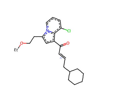 CCOCCc1cc(C(=O)/C=C/CC2CCCCC2)c2c(Cl)cccn12